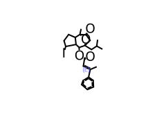 C/C(=C\C(=O)OC1C2C(I)CCC2C2(C)OC1(CC(C)C)CC2=O)c1ccccc1